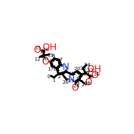 CCc1c2c(nc3ccc(OC(C)(C)C(=O)O)cc13)-c1cc3c(c(=O)n1C2)COC(=O)[C@]3(O)CC